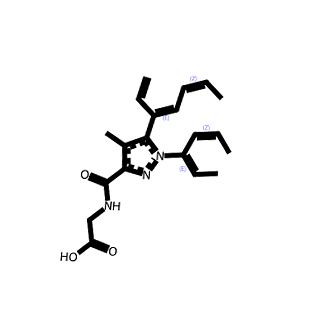 C=C/C(=C\C=C/C)c1c(C)c(C(=O)NCC(=O)O)nn1C(/C=C\C)=C/C